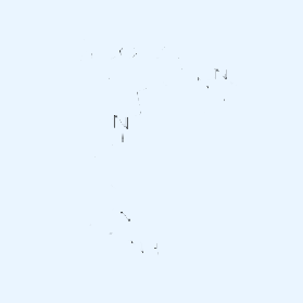 Cc1ccnn1-c1cccc(C(CC(=O)OC(C)(C)C)CN2CC[C@@H](CCc3ccc4c(n3)NCCC4)C2)c1